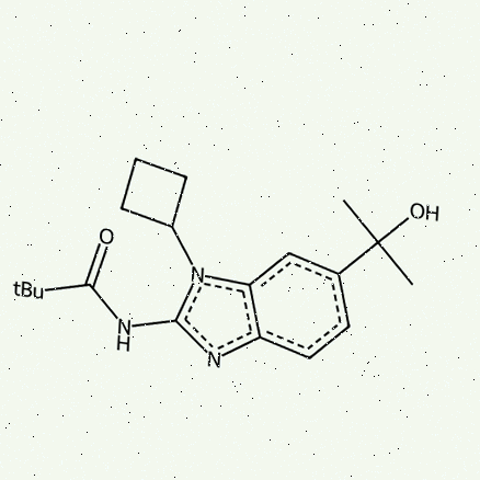 CC(C)(C)C(=O)Nc1nc2ccc(C(C)(C)O)cc2n1C1CCC1